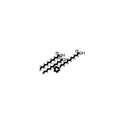 CCCCCCCCCCCC(=O)O.CCCCCCCCCCCC(=O)O.CCCCCCCCCCCC(=O)O.c1ccccc1